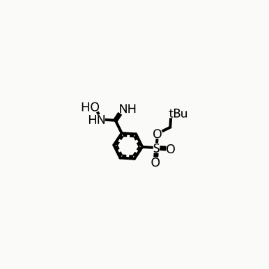 CC(C)(C)COS(=O)(=O)c1cccc(C(=N)NO)c1